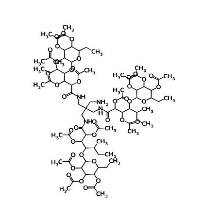 CCC(C)C(OC1OC(CC)C(OC(C)=O)C(OC(C)=O)C1OC(C)=O)C(OC(C)=O)C(OC(C)=O)C(=O)NCC(CN)(CNC(=O)C(OC(C)=O)C(OC(C)=O)C(OC1OC(CC)C(OC(C)=O)C(OC(C)=O)C1OC(C)=O)C(C)CC)CNC(=O)C(OC(C)=O)C(OC(C)=O)C(OC1OC(CC)C(OC(C)=O)C(OC(C)=O)C1OC(C)=O)C(C)CC